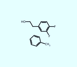 Cc1ccccc1.OCCc1ccc(F)c(F)c1